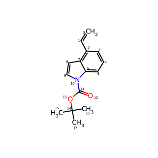 C=Cc1cccc2c1ccn2C(=O)OC(C)(C)C